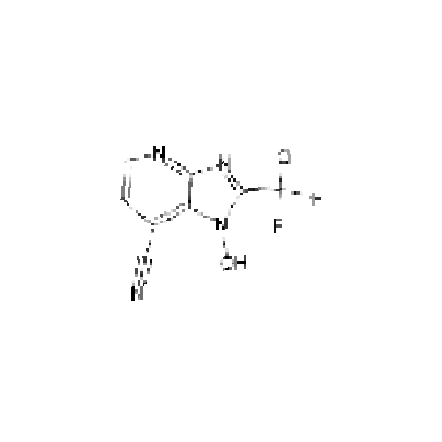 N#Cc1ccnc2nc(C(F)(F)Cl)n(O)c12